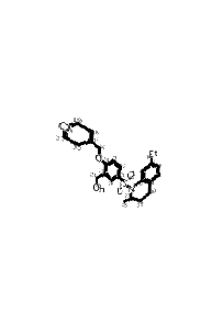 CCc1ccc2c(c1)N(S(=O)(=O)c1ccc(OCC3CCOCC3)c(CO)c1)C(C)CC2